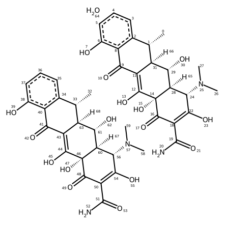 C[C@H]1c2cccc(O)c2C(=O)C2=C(O)[C@]3(O)C(=O)C(C(N)=O)=C(O)[C@@H](N(C)C)[C@@H]3[C@@H](O)[C@@H]21.C[C@H]1c2cccc(O)c2C(=O)C2=C(O)[C@]3(O)C(=O)C(C(N)=O)=C(O)[C@@H](N(C)C)[C@@H]3[C@@H](O)[C@@H]21.O